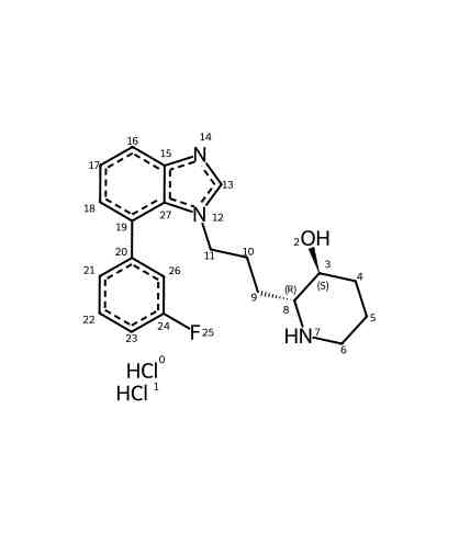 Cl.Cl.O[C@H]1CCCN[C@@H]1CCCn1cnc2cccc(-c3cccc(F)c3)c21